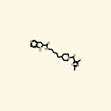 Cc1nc(C)c(C(=O)N2CCC(CCCCNC(=O)C3Cc4cnccc4N3)CC2)o1